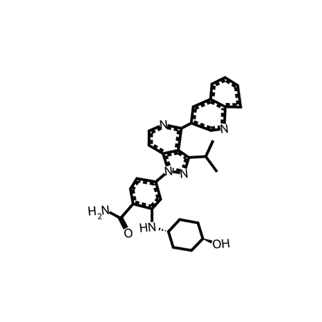 CC(C)c1nn(-c2ccc(C(N)=O)c(N[C@H]3CC[C@H](O)CC3)c2)c2ccnc(-c3cnc4ccccc4c3)c12